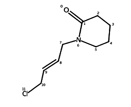 O=C1CCCCN1CC=CCCl